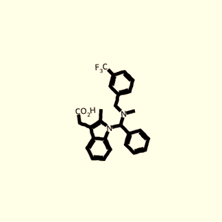 Cc1c(CC(=O)O)c2ccccc2n1C(c1ccccc1)N(C)Cc1cccc(C(F)(F)F)c1